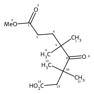 COC(=O)CCC(C)(C)C(=O)C(C)(C)CC(=O)O